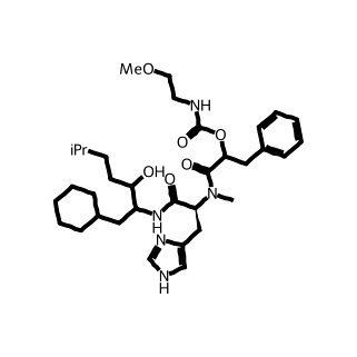 COCCNC(=O)OC(Cc1ccccc1)C(=O)N(C)[C@@H](Cc1c[nH]cn1)C(=O)NC(CC1CCCCC1)C(O)CCC(C)C